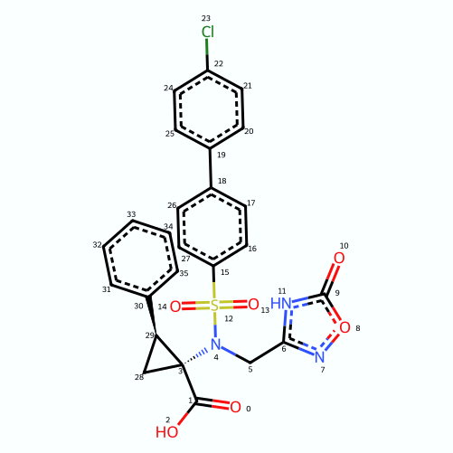 O=C(O)[C@@]1(N(Cc2noc(=O)[nH]2)S(=O)(=O)c2ccc(-c3ccc(Cl)cc3)cc2)C[C@H]1c1ccccc1